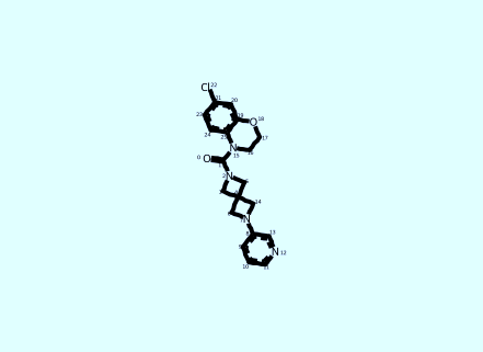 O=C(N1CC2(C1)CN(c1cccnc1)C2)N1CCOc2cc(Cl)ccc21